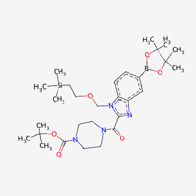 CC(C)(C)OC(=O)N1CCN(C(=O)c2nc3cc(B4OC(C)(C)C(C)(C)O4)ccc3n2COCC[Si](C)(C)C)CC1